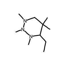 CCC1N(C)N(C)N(C)CC1(C)C